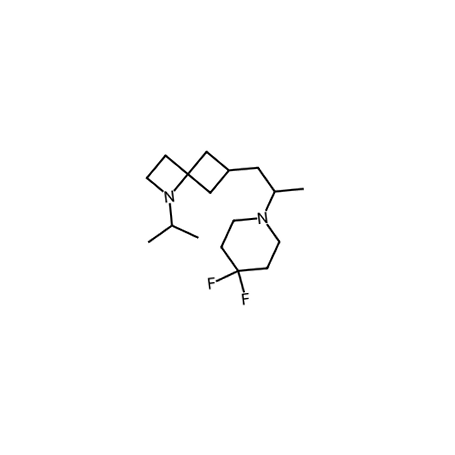 CC(CC1CC2(CCN2C(C)C)C1)N1CCC(F)(F)CC1